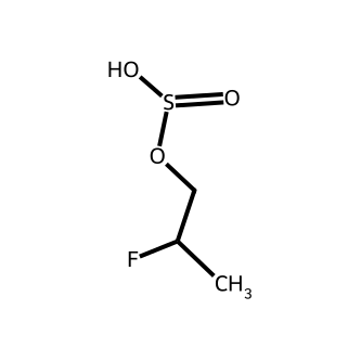 CC(F)COS(=O)O